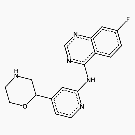 Fc1ccc2c(Nc3cc(C4CNCCO4)ccn3)ncnc2c1